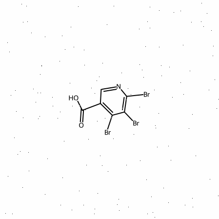 O=C(O)c1cnc(Br)c(Br)c1Br